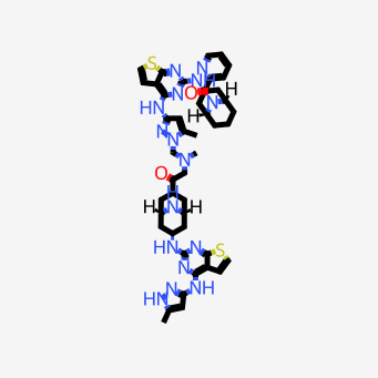 Cc1cc(Nc2nc(N[C@@H]3C[C@H]4CC(C(=O)CN(C)Cn5nc(Nc6nc(N[C@@H]7C[C@H]8CCC[C@@H](C7)N8C(=O)c7ccccn7)nc7sccc67)cc5C)C[C@@H](C3)N4)nc3sccc23)n[nH]1